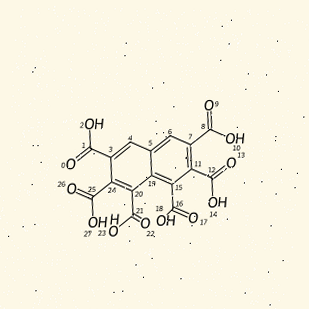 O=C(O)c1cc2cc(C(=O)O)c(C(=O)O)c(C(=O)O)c2c(C(=O)O)c1C(=O)O